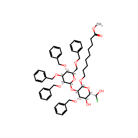 COC(=O)CCCCCCCCO[C@H]1O[C@H](C(O)F)[C@@H](O)[C@H](OCc2ccccc2)[C@H]1O[C@@H]1O[C@H](COCc2ccccc2)[C@@H](OCc2ccccc2)[C@H](OCc2ccccc2)[C@H]1OCc1ccccc1